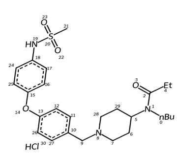 CCCCN(C(=O)CC)C1CCN(Cc2ccc(Oc3ccc(NS(C)(=O)=O)cc3)cc2)CC1.Cl